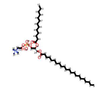 CCCCCCCCCCCCCCCCCCCCCC(=O)OC[C@H](COP(=O)(O)OCC[N+](C)(C)C)OC(=O)CCCCCCCCCCCC